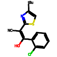 CC(C)(C)c1csc(C(C#N)=C(O)c2ccccc2Cl)n1